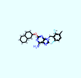 Cc1ccc(F)c(Cn2cnc3c(N)nc(OC4CCC5CCCCC5C4)nc32)c1F